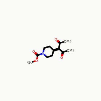 COC(=O)C(C(=O)OC)=C1CCN(C(=O)OC(C)(C)C)CC1